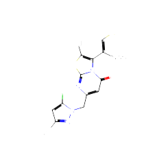 CN/C(=C\S)c1c(C(F)(F)F)sc2nc(Cn3nc(C(F)(F)F)cc3Cl)cc(=O)n12